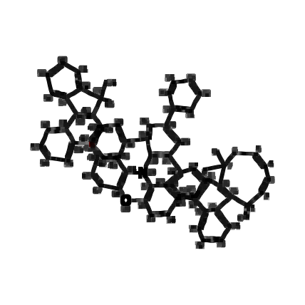 C=C1/C=C\C=C/CC(C)(C)c2cc(-c3ccc4c(c3)N(c3c(-c5ccccc5)cc(-c5ccccc5)cc3-c3ccccc3)c3cc(-c5cc6c(c7ccccc57)-c5ccccc5C6(C)C)ccc3O4)c3ccccc3c21